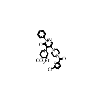 CCOC(=O)C1CCCN(c2c(N3CCN(C(=O)c4ccc(Cl)s4)CC3)cnn(-c3ccccc3)c2=O)C1